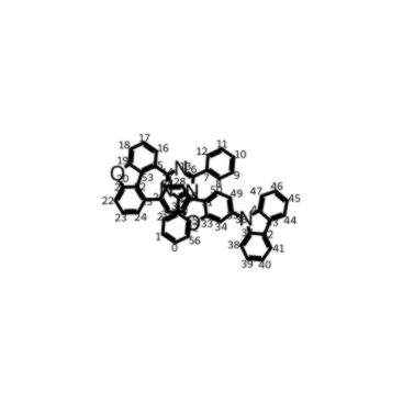 c1ccc(-c2nc(-c3ccccc3)nc(-c3cccc4oc5cccc(-c6ccc7c(c6)oc6cc(-n8c9ccccc9c9ccccc98)ccc67)c5c34)n2)cc1